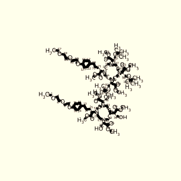 CCOCCOCCOc1ccc(CCC[C@@H](C(=O)OC)N2CCN([C@@H](CO)C(=O)OC)CCN([C@@H](CO)C(=O)OC)CCN([C@@H](CO)C(=O)OC)CC2)cc1.CCOCCOCCOc1ccc(CCC[C@@H](C(=O)OC)N2CCN([C@@H](COC(C)(C)C)C(=O)OC)CCN([C@@H](COC(C)(C)C)C(=O)OC)CCN([C@@H](COC(C)(C)C)C(=O)OC)CC2)cc1